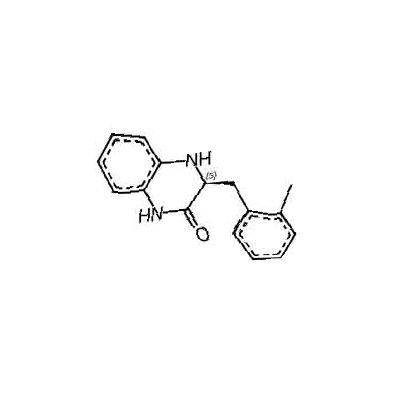 Cc1ccccc1C[C@@H]1Nc2ccccc2NC1=O